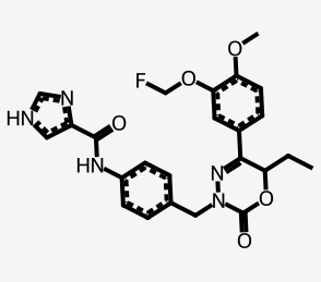 CCC1OC(=O)N(Cc2ccc(NC(=O)c3c[nH]cn3)cc2)N=C1c1ccc(OC)c(OCF)c1